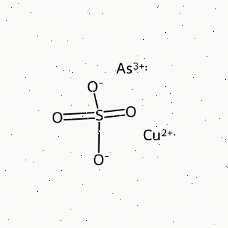 O=S(=O)([O-])[O-].[As+3].[Cu+2]